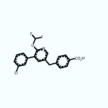 O=C(O)c1ccc(Cc2cnc(OC(F)F)c(-c3cccc(Cl)c3)c2)cc1